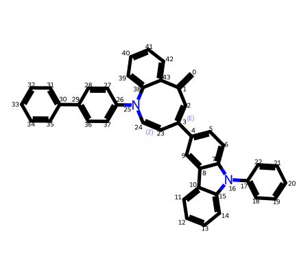 C=C1/C=C(c2ccc3c(c2)c2ccccc2n3-c2ccccc2)\C=C/N(c2ccc(-c3ccccc3)cc2)c2ccccc21